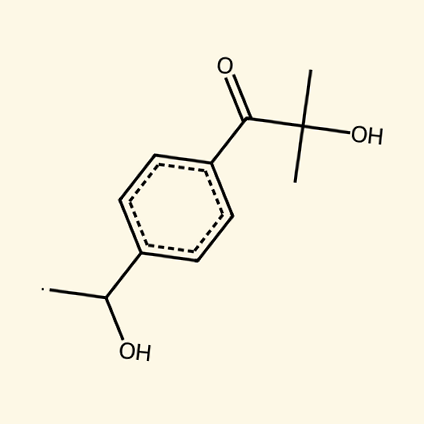 [CH2]C(O)c1ccc(C(=O)C(C)(C)O)cc1